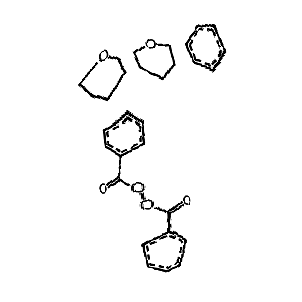 C1CCOCC1.C1CCOCC1.O=C(OOC(=O)c1ccccc1)c1ccccc1.c1ccccc1